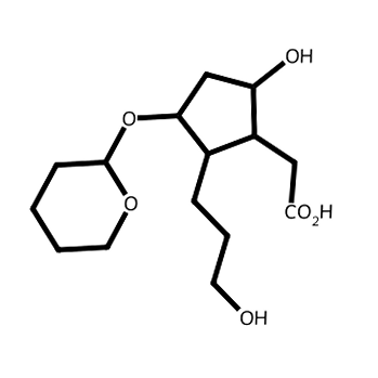 O=C(O)CC1C(O)CC(OC2CCCCO2)C1CCCO